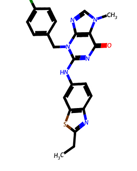 CCc1nc2ccc(Nc3nc(=O)c4c(ncn4C)n3Cc3ccc(Cl)cc3)cc2s1